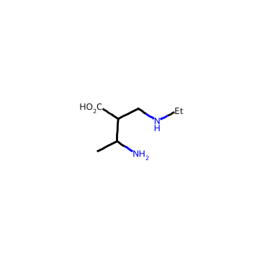 CCNCC(C(=O)O)C(C)N